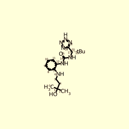 CC(C)(O)CCNc1ccccc1NC(=O)N[C@H](c1nn[nH]n1)C(C)(C)C